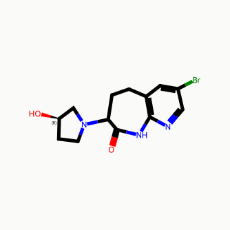 O=C1Nc2ncc(Br)cc2CCC1N1CC[C@@H](O)C1